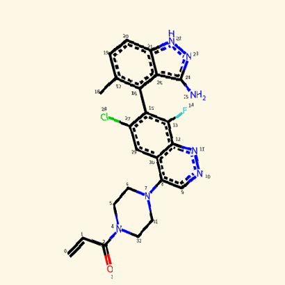 C=CC(=O)N1CCN(c2cnnc3c(F)c(-c4c(C)ccc5[nH]nc(N)c45)c(Cl)cc23)CC1